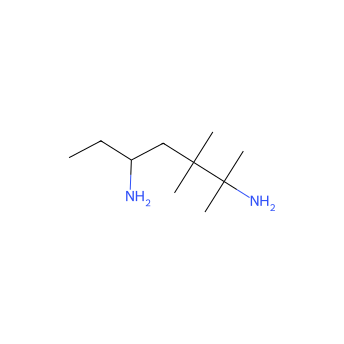 CCC(N)CC(C)(C)C(C)(C)N